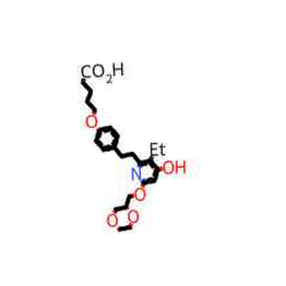 CCc1c(O)cc(OCC2COCCO2)nc1CCc1ccc(OCCCCC(=O)O)cc1